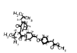 COC(=O)Cc1ccc(OCC2CCN(C(=O)[C@H](CC(C)C)N3CCN[C@@H](CC(C)C)C3=O)CC2)cc1